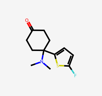 CN(C)C1(c2ccc(F)s2)CCC(=O)CC1